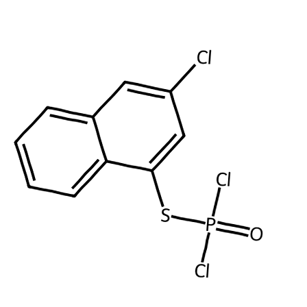 O=P(Cl)(Cl)Sc1cc(Cl)cc2ccccc12